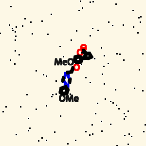 COc1ccc(N2CCN(CCCOc3cc4c5c(c(=O)oc4cc3OC)CCC5)CC2)cc1